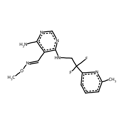 CO/N=C/c1c(N)ncnc1NCC(F)(F)c1cccc(C)n1